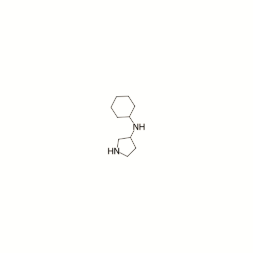 C1CCC(NC2CCNC2)CC1